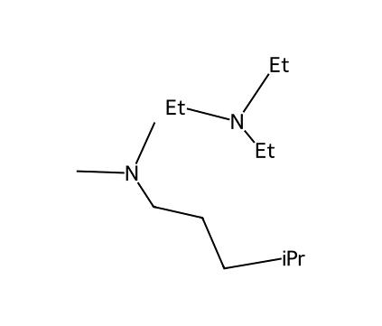 CC(C)CCCN(C)C.CCN(CC)CC